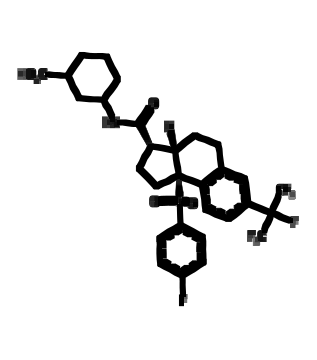 O=C(O)C1CCCC(NC(=O)[C@@H]2CC[C@@]3(S(=O)(=O)c4ccc(F)cc4)c4ccc(C(F)(C(F)(F)F)C(F)(F)F)cc4CC[C@@H]23)C1